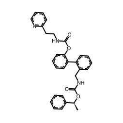 C[C@H](OC(=O)NCc1ccccc1-c1ccccc1OC(=O)NCCc1ccccn1)c1ccccc1